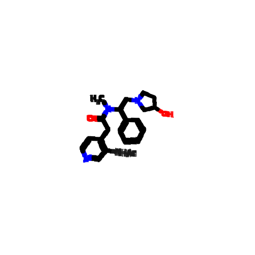 CC(=O)Nc1cnccc1CC(=O)N(C)C(CN1CCC(O)C1)c1ccccc1